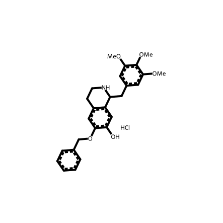 COc1cc(CC2NCCc3cc(OCc4ccccc4)c(O)cc32)cc(OC)c1OC.Cl